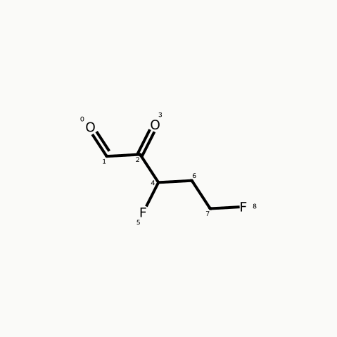 O=CC(=O)C(F)CCF